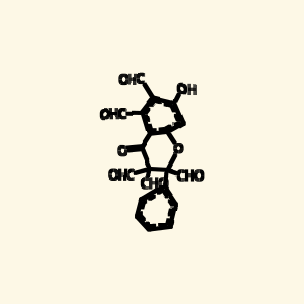 O=Cc1c(O)cc2c(c1C=O)C(=O)C(C=O)(C=O)C(C=O)(c1ccccc1)O2